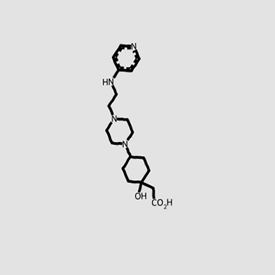 O=C(O)CC1(O)CCC(N2CCN(CCNc3ccncc3)CC2)CC1